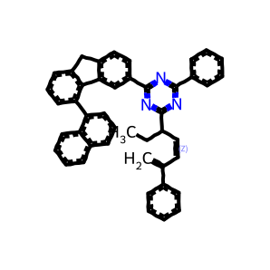 C=C(/C=C\C(CC)c1nc(-c2ccccc2)nc(-c2ccc3c(c2)-c2c(cccc2-c2cccc4ccccc24)C3)n1)c1ccccc1